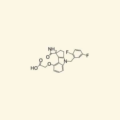 NC(=O)C1CCc2c1c1c(OCC(=O)O)cccc1n2Cc1cc(F)ccc1F